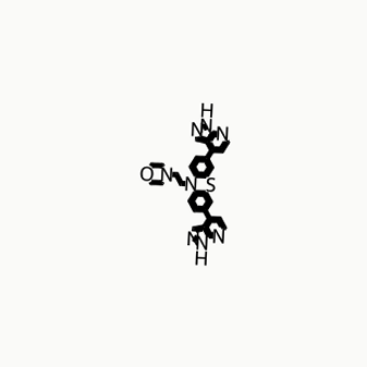 c1cc(-c2ccc3c(c2)Sc2cc(-c4ccnc5[nH]ncc45)ccc2N3CCN2CCOCC2)c2cn[nH]c2n1